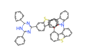 c1ccc(C2=NC(c3ccc4c(c3)sc3cccc(-c5cccc6sc7cccc(-n8c9ccccc9c9ccccc98)c7c56)c34)=NC(c3ccccc3)N2)cc1